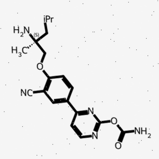 CC(C)C[C@](C)(N)COc1ccc(-c2ccnc(OC(N)=O)n2)cc1C#N